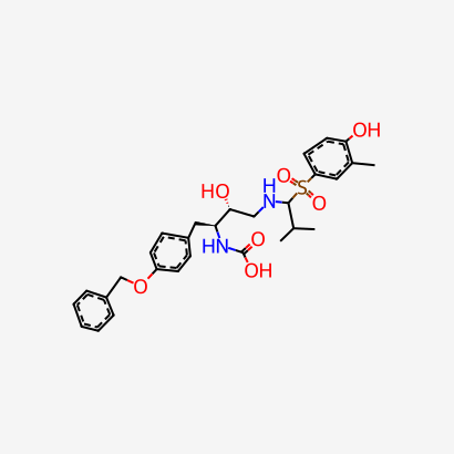 Cc1cc(S(=O)(=O)C(NC[C@@H](O)[C@H](Cc2ccc(OCc3ccccc3)cc2)NC(=O)O)C(C)C)ccc1O